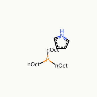 CCCCCCCCP(CCCCCCCC)CCCCCCCC.c1cc[nH]c1